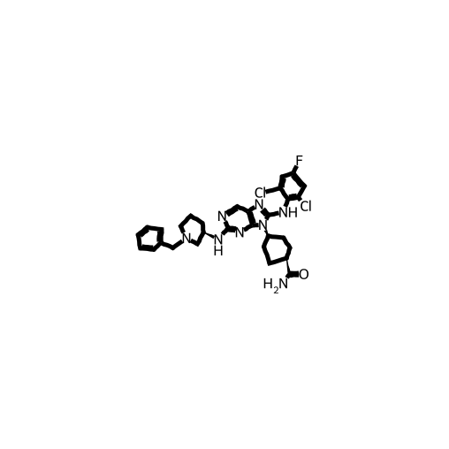 NC(=O)[C@H]1CC[C@@H](n2c(Nc3c(Cl)cc(F)cc3Cl)nc3cnc(N[C@@H]4CCCN(Cc5ccccc5)C4)nc32)CC1